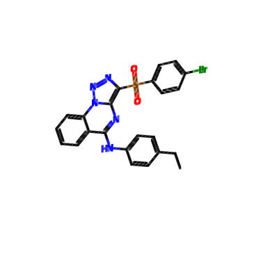 CCc1ccc(Nc2nc3c(S(=O)(=O)c4ccc(Br)cc4)nnn3c3ccccc23)cc1